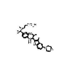 CCCCCC(C)C(Nc1ccc(C(=O)N(C)CCC(=O)O)cc1)c1oc2ccc(N3CCOCC3)cc2c1C